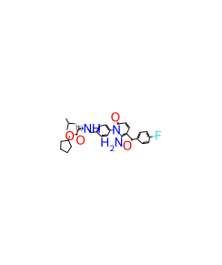 CC(C)C[C@H](NCc1ccc(-n2c(N)c(C(=O)c3ccc(F)cc3)ccc2=O)cc1)C(=O)OC1CCCC1